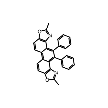 Cc1nc2c(ccc3c4ccc5oc(C)nc5c4c(-c4ccccc4)c(-c4ccccc4)c32)o1